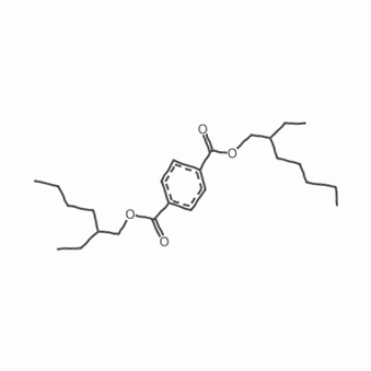 CCCCCC(CC)COC(=O)c1ccc(C(=O)OCC(CC)CCCC)cc1